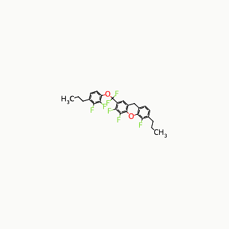 CCCc1ccc(OC(F)(F)c2cc3c(c(F)c2F)Oc2c(ccc(CCC)c2F)C3)c(F)c1F